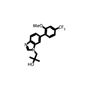 COc1cc(C(F)(F)F)ccc1-c1ccc2ncn(CC(C)(C)O)c2c1